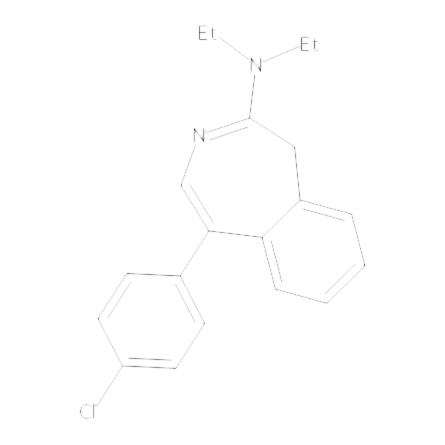 CCN(CC)C1=NC=C(c2ccc(Cl)cc2)c2ccccc2C1